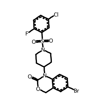 O=C1OCc2cc(Br)ccc2N1C1CCN(S(=O)(=O)c2cc(Cl)ccc2F)CC1